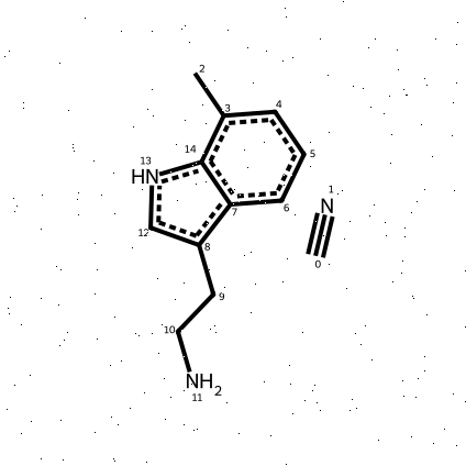 C#N.Cc1cccc2c(CCN)c[nH]c12